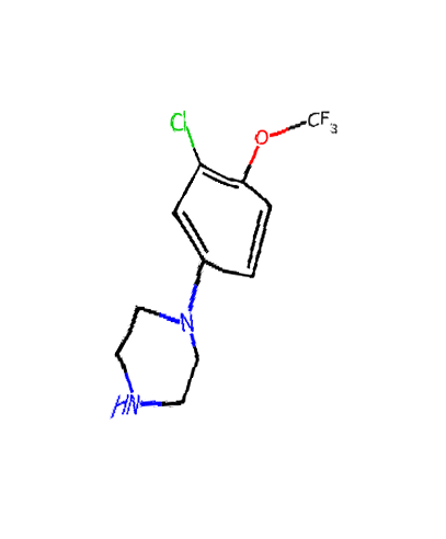 FC(F)(F)Oc1ccc(N2CCNCC2)cc1Cl